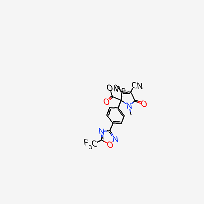 COC(=O)C1(c2ccc(-c3noc(C(F)(F)F)n3)cc2)C(C)=C(C#N)C(=O)N1C